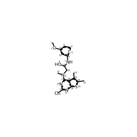 COc1cccc(NC(O)CN(C)c2nc(Cl)nc3sc(C)c(C)c23)c1